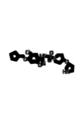 O=S(=O)(Nc1noc2cc(OCC3CCCC3)c(Cl)cc12)N1CCC(O[C@@H]2CCNC2)CC1